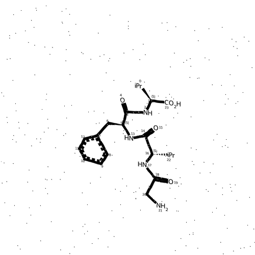 CC(C)[C@H](NC(=O)[C@H](Cc1ccccc1)NC(=O)[C@@H](NC(=O)CN)C(C)C)C(=O)O